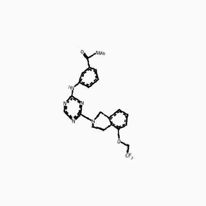 CNC(=O)c1cccc(Nc2ncnc(N3CCc4c(cccc4OCC(F)(F)F)C3)n2)c1